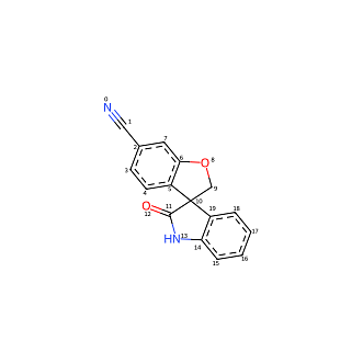 N#Cc1ccc2c(c1)OCC21C(=O)Nc2ccccc21